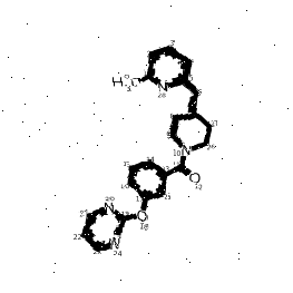 Cc1cccc(C=C2CCN(C(=O)c3cccc(Oc4ncccn4)c3)CC2)n1